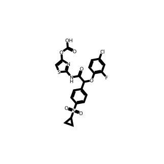 O=C(O)Oc1csc(NC(=O)C(Oc2ccc(Cl)cc2F)c2ccc(S(=O)(=O)C3CC3)cc2)n1